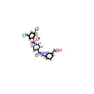 O=C(NCc1cccc(CO)c1)C1CCN(S(=O)(=O)c2cc(Cl)cc(Cl)c2)CC1